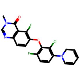 Cn1cnc2ccc(Oc3c(F)ccc(N4C=CC=CC4)c3Cl)c(F)c2c1=O